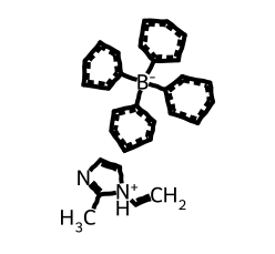 C=C[NH+]1C=CN=C1C.c1ccc([B-](c2ccccc2)(c2ccccc2)c2ccccc2)cc1